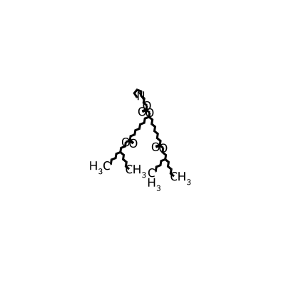 CCCCCC(CCCCC)CCOC(=O)CCCCCCCC(CCCCCCCC(=O)OCCC(CCCCC)CCCCC)OC(=O)OCCN1CCCC1